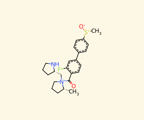 C[C@@H]1CCC[N+]1(C[C@@H]1CCCN1)C(=O)c1ccc(-c2ccc([S+](C)[O-])cc2)cc1F